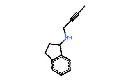 CC#CCNC1CCc2ccccc21